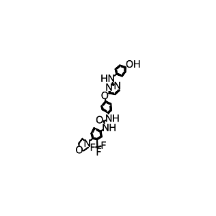 O=C(Nc1ccc(Oc2ccnc(Nc3ccc(O)cc3)n2)cc1)Nc1ccc(N2CCOCC2)c(C(F)(F)F)c1